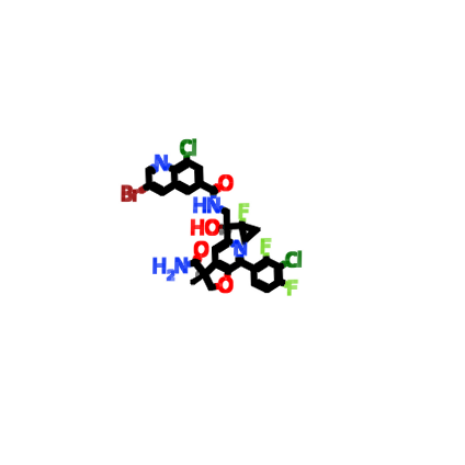 C[C@]1(C(N)=O)COc2c1cc([C@@](O)(CNC(=O)c1cc(Cl)c3ncc(Br)cc3c1)C1(F)CC1)nc2-c1ccc(F)c(Cl)c1F